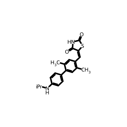 Cc1cc(-c2ccc(NC(C)C)cc2)c(C)cc1/C=C1/SC(=O)NC1=O